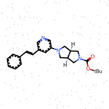 CC(C)(C)OC(=O)N1C[C@@H]2CN(c3cncc(C=Cc4ccccc4)c3)C[C@@H]2C1